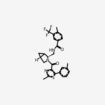 Cc1cccc(-c2sc(C)nc2C(=O)N2C[C@@H]3CC3[C@H]2CNC(=O)c2ccc(C)c(C(F)(F)F)c2)c1